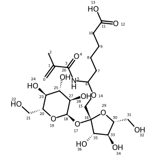 C=C(C)C(=O)NC(CCCCC(=O)O)OC[C@@]1(O[C@H]2O[C@H](CO)[C@@H](O)[C@H](O)[C@H]2O)O[C@H](CO)[C@@H](O)[C@@H]1O